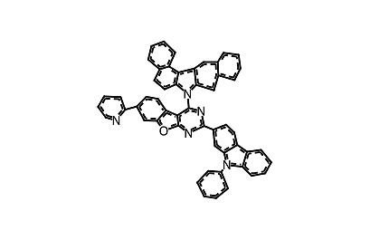 c1ccc(-n2c3ccccc3c3ccc(-c4nc(-n5c6cc7ccccc7cc6c6c7ccccc7ccc65)c5c(n4)oc4cc(-c6ccccn6)ccc45)cc32)cc1